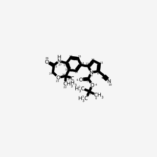 CC(C)(C)OC(=O)n1c(C#N)ccc1-c1ccc2c(c1)C(C)(C)OCC(=O)N2